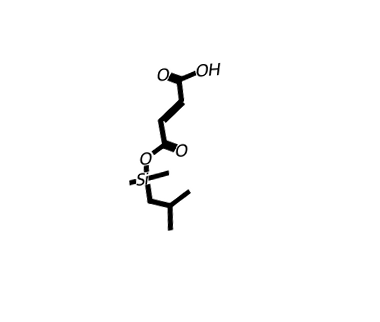 CC(C)C[Si](C)(C)OC(=O)C=CC(=O)O